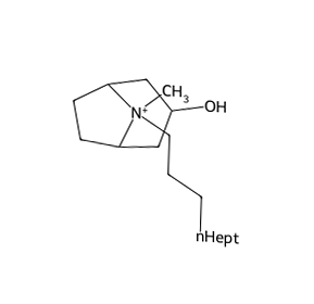 CCCCCCCCCC[N+]1(C)C2CCC1CC(O)C2